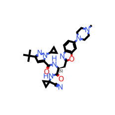 CN1CCN(c2ccc3nc(C[C@H](NC(=O)c4cc(C(C)(C)C)nn4C4CC4)C(=O)NC4(C#N)CC4)oc3c2)CC1